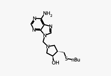 CCCCSC[C@H]1CN(Cn2cnc3c(N)ncnc32)C[C@@H]1O